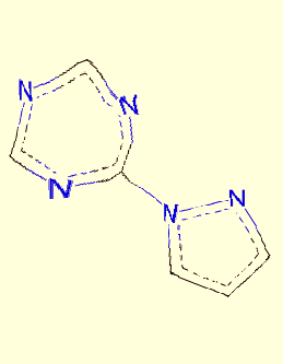 c1cnn(-c2ncncn2)c1